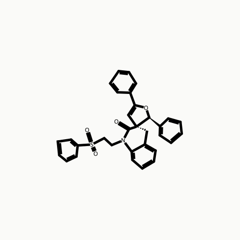 O=C1N(CCS(=O)(=O)c2ccccc2)c2ccccc2C[C@@]12C=C(c1ccccc1)O[C@H]2c1ccccc1